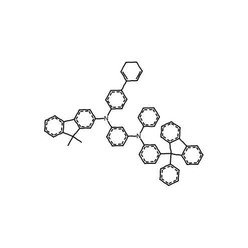 CC1(C)c2ccccc2-c2ccc(N(c3ccc(C4=CCCC=C4)cc3)c3cccc(N(c4ccccc4)c4cccc(C5(c6ccccc6)c6ccccc6-c6ccccc65)c4)c3)cc21